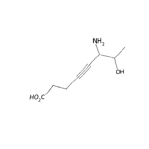 CC(O)C(N)C#CCCC(=O)O